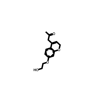 CC(=O)CC1=CCOc2cc(OCCO)ccc21